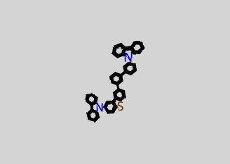 c1cc(-c2cccc(-n3c4ccccc4c4ccccc43)c2)cc(-c2ccc3sc4ccc(-n5c6ccccc6c6ccccc65)cc4c3c2)c1